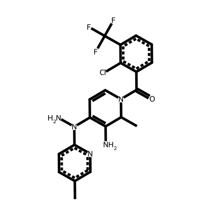 Cc1ccc(N(N)C2=C(N)C(C)N(C(=O)c3cccc(C(F)(F)F)c3Cl)C=C2)nc1